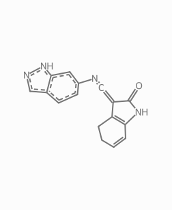 O=C1NC2=C(CCC=C2)C1=C=Nc1ccc2cn[nH]c2c1